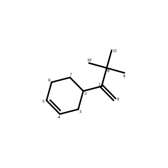 C=C(C1CC=CCC1)C(C)(C)C